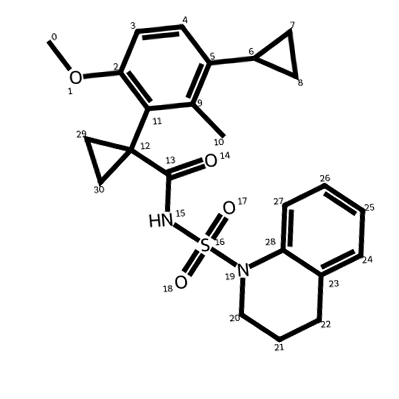 COc1ccc(C2CC2)c(C)c1C1(C(=O)NS(=O)(=O)N2CCCc3ccccc32)CC1